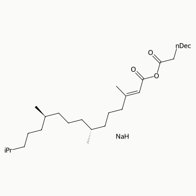 CCCCCCCCCCCC(=O)OC(=O)/C=C(\C)CCC[C@H](C)CCC[C@H](C)CCCC(C)C.[NaH]